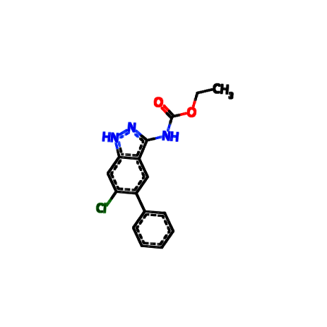 CCOC(=O)Nc1n[nH]c2cc(Cl)c(-c3ccccc3)cc12